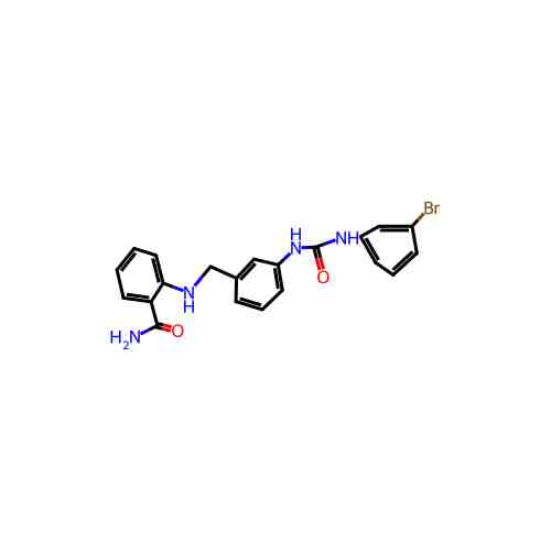 NC(=O)c1ccccc1NCc1cccc(NC(=O)Nc2cccc(Br)c2)c1